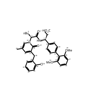 CCCC[C@@H](C(=O)N[C@@H](CC(=O)O)c1ccc(-c2c(OC)cccc2OC)cc1)n1cc(C)cc(Cc2ccccc2Cl)c1=O